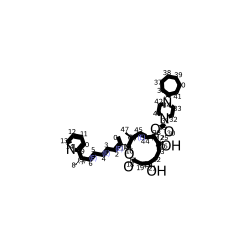 C\C(=C/C=C/C=C/[C@H](C)c1ccccn1)[C@H]1OC(=O)C[C@@H](O)CC[C@](C)(O)[C@@H](OC(=O)N2CCN(C3CCCCCC3)CC2)/C=C/[C@@H]1C